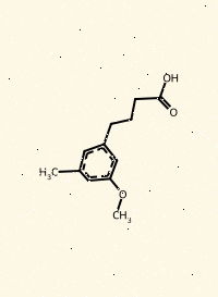 COc1cc(C)cc(CCCC(=O)O)c1